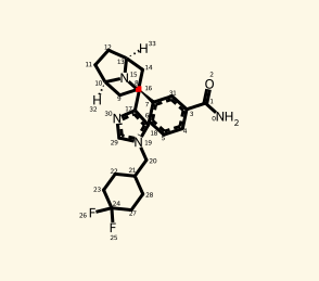 NC(=O)c1cccc([C@H]2C[C@H]3CC[C@@H](C2)N3Cc2cn(CC3CCC(F)(F)CC3)cn2)c1